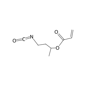 C=CC(=O)OC(C)CCN=C=O